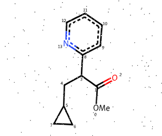 COC(=O)C(CC1CC1)c1ccccn1